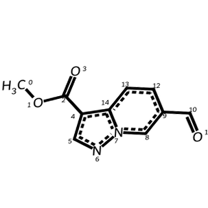 COC(=O)c1cnn2cc(C=O)ccc12